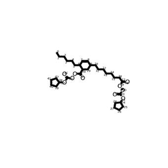 CCCCCCC1C=CC(CCCCCCCC(=O)OOC(=O)OC2CCCC2)CC1C(=O)OOC(=O)OC1CCCC1